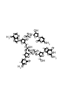 Nc1ccn([C@H]2C[C@@H](O)[C@@H](COP(=O)(S)O[C@@H]3C[C@H](n4cnc5c(N)ncnc54)O[C@@H]3COP(=O)(S)O[C@@H]3C[C@H](n4ccc(N)nc4=O)O[C@@H]3COP(=O)(S)O[C@@H]3C[C@H](n4cnc5c(=O)[nH]c(N)nc54)O[C@@H]3CO)O2)c(=O)n1